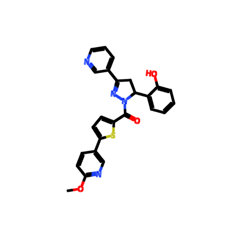 COc1ccc(-c2ccc(C(=O)N3N=C(c4cccnc4)CC3c3ccccc3O)s2)cn1